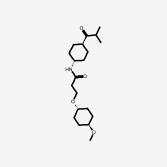 CO[C@H]1CC[C@H](OCCC(=O)N[C@H]2CC[C@H](C(=O)C(C)C)CC2)CC1